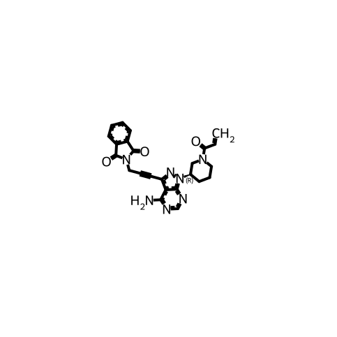 C=CC(=O)N1CCC[C@@H](n2nc(C#CCN3C(=O)c4ccccc4C3=O)c3c(N)ncnc32)C1